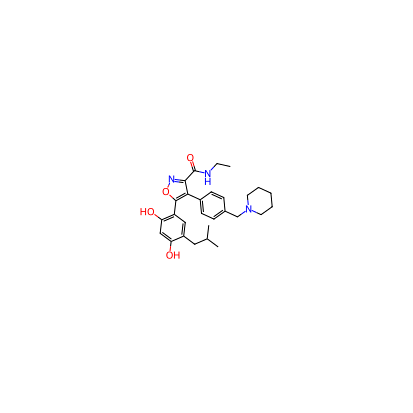 CCNC(=O)c1noc(-c2cc(CC(C)C)c(O)cc2O)c1-c1ccc(CN2CCCCC2)cc1